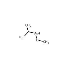 CO[AsH]C(C)C